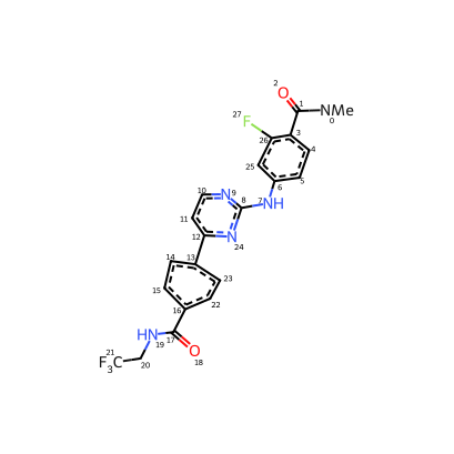 CNC(=O)c1ccc(Nc2nccc(-c3ccc(C(=O)NCC(F)(F)F)cc3)n2)cc1F